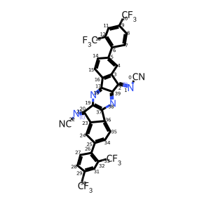 N#C/N=c1\c2cc(-c3ccc(C(F)(F)F)cc3C(F)(F)F)ccc2c2nc3/c(=N/C#N)c4cc(-c5ccc(C(F)(F)F)cc5C(F)(F)F)ccc4c3nc12